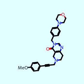 COc1ccc(C#CCN2CCc3ncn(Cc4ccc(N5CCOCC5)cc4)c(=O)c3C2)cc1